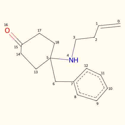 C=CCCNC1(Cc2ccccc2)CCC(=O)CC1